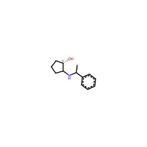 CC(NC1CCC[C@@H]1O)c1ccccc1